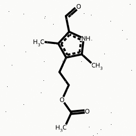 CC(=O)OCCc1c(C)[nH]c(C=O)c1C